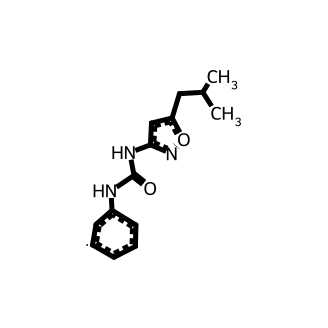 CC(C)Cc1cc(NC(=O)Nc2c[c]ccc2)no1